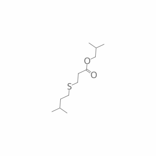 CC(C)CCSCCC(=O)OCC(C)C